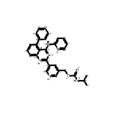 CC(C)NC(=O)OCc1cncc(-c2nc(N(C)c3ccccn3)c3c(-c4ccccc4)cccc3n2)c1